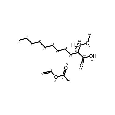 C=COC(C)=O.CCCCCCCCCC([SiH2]OC)C(=O)O